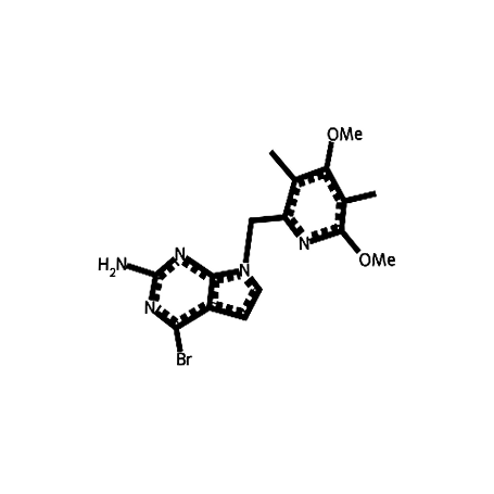 COc1nc(Cn2ccc3c(Br)nc(N)nc32)c(C)c(OC)c1C